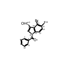 O=Cc1cn(C(=O)c2ccccc2)c2ccc(F)c(Br)c12